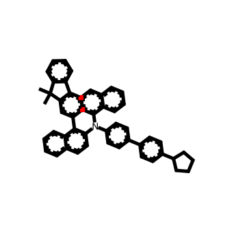 CC1(C)c2ccccc2-c2ccc(-c3c(N(c4ccc(-c5ccc(C6CCCC6)cc5)cc4)c4cccc5ccccc45)ccc4ccccc34)cc21